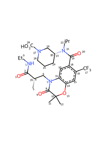 CCNC(=O)[C@@H](C)CN1C(=O)C(C)(C)Oc2cc(C(F)(F)F)c(C(=O)N(C(C)C)[C@@H]3CCCN(C(=O)O)C3)cc21